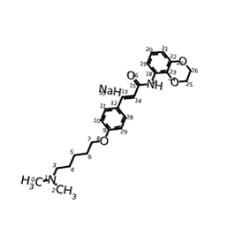 CN(C)CCCCCOc1ccc(/C=C/C(=O)Nc2cccc3c2OCCO3)cc1.[NaH]